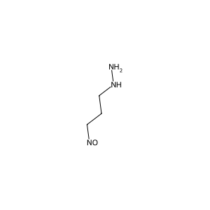 NNCCCN=O